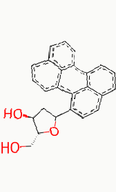 OC[C@H]1OC(c2ccc3cccc4c5cccc6cccc(c2c34)c65)C[C@@H]1O